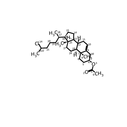 CC(=O)O[C@H]1CC[C@@]2(C)C(=CC[C@H]3[C@@H]4CC[C@H]([C@H](C)CCCC(C)Cl)[C@@]4(C)CC[C@@H]32)C1